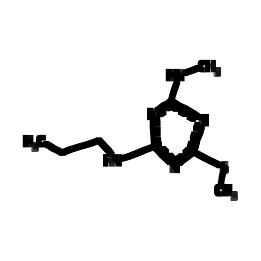 CCCNc1nc(NC)nc(SC)n1